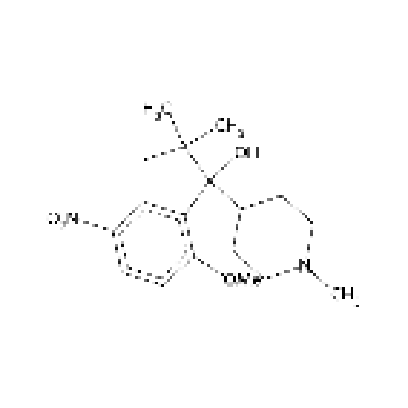 COc1ccc([N+](=O)[O-])c2c1C(O)(C1CCN(C)CC1)C(C)(C)C2